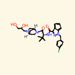 CC(C)(C)[C@H](NC(=O)c1nn(Cc2ccc(F)cc2)c2ccccc12)C(=O)N1C[C@@H]2C[C@H]1CN2CC(O)CO